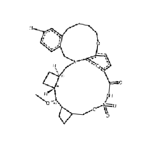 CO[C@H]1C2CCC2CCS(=O)(=O)NC(=O)c2ccc3c(c2)N(Cc2ccc(Cl)cc2CCCCO3)C[C@@H]2CC[C@H]21